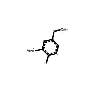 COCc1ccc(C)c(NC(C)=O)c1